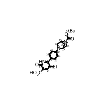 CCc1cc(C(=O)O)c(=O)[nH]c1-c1ccc(N2CC3CC2CN3C(=O)OC(C)(C)C)cc1